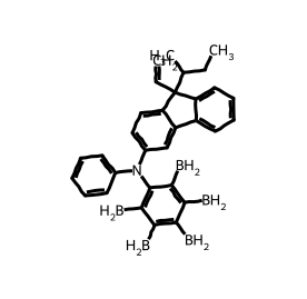 Bc1c(B)c(B)c(N(c2ccccc2)c2ccc3c(c2)-c2ccccc2C3(C=C)C(C)CC)c(B)c1B